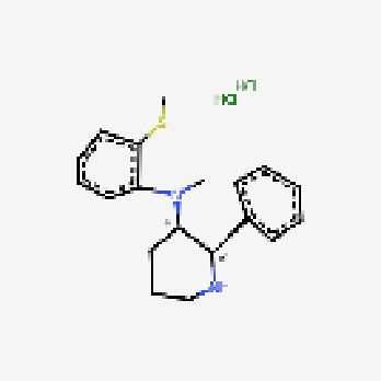 CSc1ccccc1N(C)[C@@H]1CCCN[C@@H]1c1ccccc1.Cl.Cl